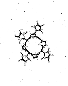 CC1=C(C)N(C)C(C2=Cc3nc2cc2ccc([nH]2)c(C2N(C)C(C)=C(C)N2C)c2nc(c(C4N(C)C(C)=C(C)N4C)c4ccc([nH]4)c3C3N(C)C(C)=C(C)N3C)C=C2)N1C